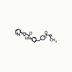 CC1CC1C(=O)N1CCC(Cc2ccc(NC(=O)C3CN(c4cccnn4)C3)cc2)CC1